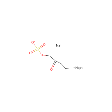 CCCCCCCCCC(=O)COS(=O)(=O)[O-].[Na+]